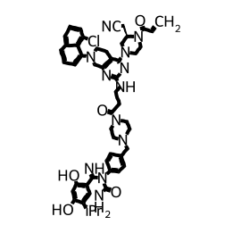 C=CC(=O)N1CCN(c2nc(NCCC(=O)N3CCN(Cc4ccc(N(C(=N)c5cc(C(C)C)c(O)cc5O)C(N)=O)cc4)CC3)nc3c2CCN(c2cccc4cccc(Cl)c24)C3)C[C@H]1CC#N